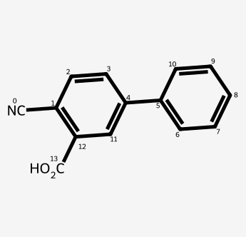 N#Cc1ccc(-c2ccccc2)cc1C(=O)O